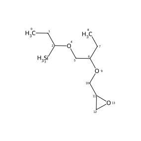 CCC([SiH3])OCC(CC)OCC1CO1